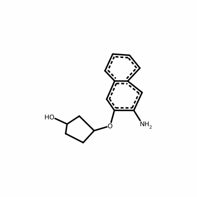 Nc1cc2ccccc2cc1OC1CCC(O)C1